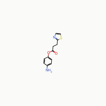 Nc1ccc(OC(=O)CCc2nccs2)cc1